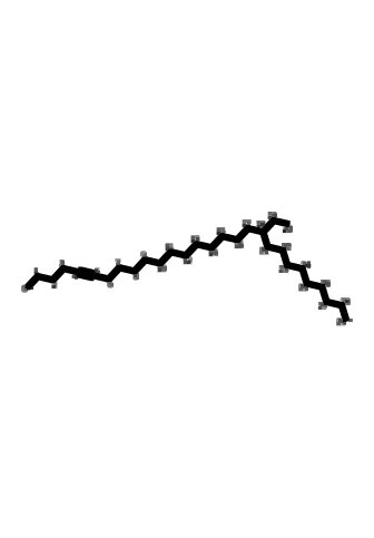 [CH2]CCCC#CCCCCCCCCCCCCC(CC)CCCCCCCC[CH2]